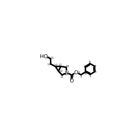 O=C(OCc1ccccc1)N1CC2C(CCO)C2C1